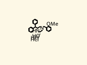 COc1ccccc1CN1CC(C(c2ccccc2)c2ccccc2)N[C@@H](CO)C1.Cl.Cl